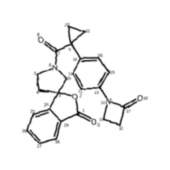 O=C1O[C@]2(CCN(C(=O)C3(c4ccc(N5CCC5=O)cc4)CC3)C2)c2ccccc21